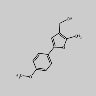 COc1ccc(-c2cc(CO)c(C)o2)cc1